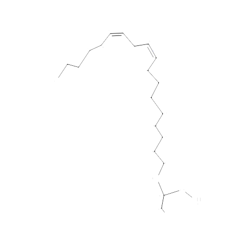 CCCCC/C=C\C/C=C\CCCCCCCCOC(CBr)OC